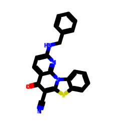 N#Cc1c(=O)c2ccc(NCc3ccccc3)nc2n2c1sc1ccccc12